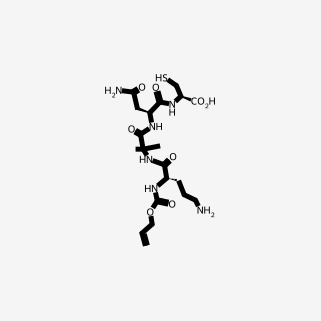 C=CCOC(=O)N[C@@H](CCCN)C(=O)NC(C)(C)C(=O)N[C@@H](CC(N)=O)C(=O)N[C@@H](CS)C(=O)O